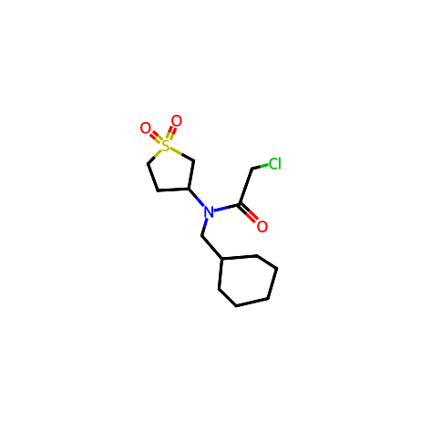 O=C(CCl)N(CC1CCCCC1)C1CCS(=O)(=O)C1